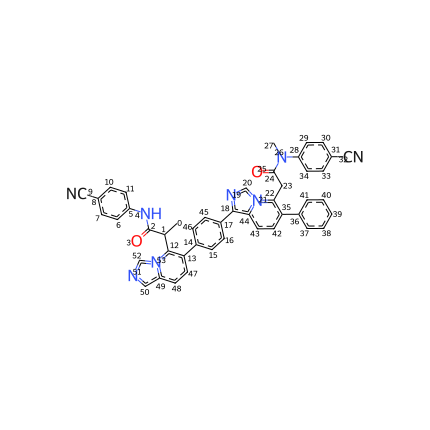 CC(C(=O)Nc1ccc(C#N)cc1)c1c(-c2ccc(-c3ncn4c(CC(=O)N(C)c5ccc(C#N)cc5)c(-c5ccccc5)ccc34)cc2)ccc2cncn12